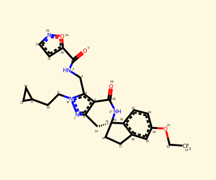 O=C(NCc1c2c(nn1CCC1CC1)C[C@]1(CCc3cc(OCC(F)(F)F)ccc31)NC2=O)c1ccno1